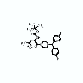 CC(C)C[C@H](NC(=O)OC(C)(C)C)C(=O)N1CCN(C(c2ccc(F)cc2)c2ccc(F)cc2)CC1